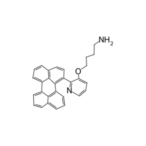 NCCCCOc1cccnc1-c1ccc2cccc3c4cccc5cccc(c1c23)c54